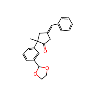 CC1(c2cccc(C3OCCO3)c2)CC(=Cc2ccccc2)CC1=O